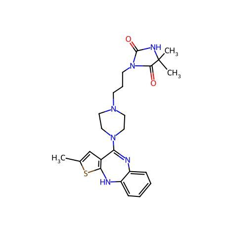 Cc1cc2c(s1)Nc1ccccc1N=C2N1CCN(CCCN2C(=O)NC(C)(C)C2=O)CC1